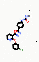 CCNC(=O)Nc1ccc(-c2nnc(-c3cccnc3Oc3cccc(Cl)c3)o2)cc1